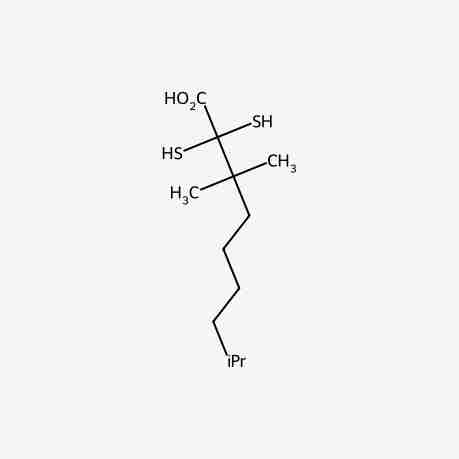 CC(C)CCCCC(C)(C)C(S)(S)C(=O)O